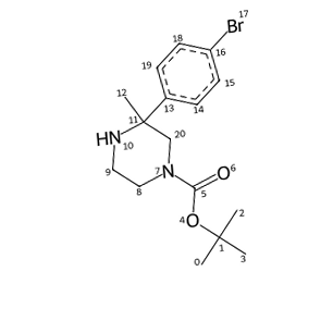 CC(C)(C)OC(=O)N1CCNC(C)(c2ccc(Br)cc2)C1